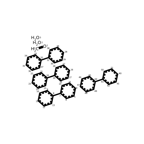 C=O.O.O.c1ccc(-c2ccccc2)cc1.c1ccc(-c2ccccc2)cc1.c1ccc(-c2ccccc2)cc1.c1ccc(-c2ccccc2)cc1